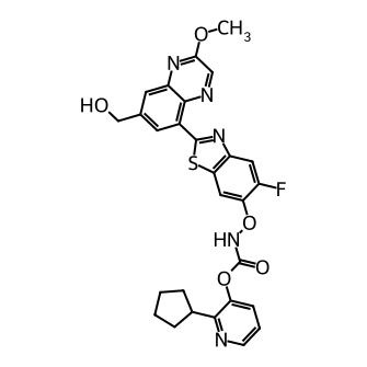 COc1cnc2c(-c3nc4cc(F)c(ONC(=O)Oc5cccnc5C5CCCC5)cc4s3)cc(CO)cc2n1